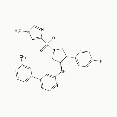 Cc1cccc(-c2cc(N[C@H]3CN(S(=O)(=O)c4cn(C)cn4)C[C@@H]3c3ccc(F)cc3)ncn2)c1